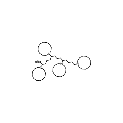 CCCCC(CCCC(CCCC(CCCCN1CCCCCCCCCCC1)N1CCCCCCCCCCC1)N1CCCCCCCCCCC1)N1CCCCCCCCCCC1